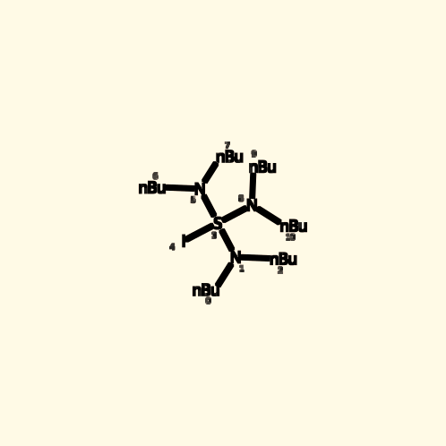 CCCCN(CCCC)S(I)(N(CCCC)CCCC)N(CCCC)CCCC